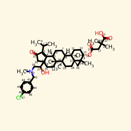 CC(C)C1=C2[C@H]3CC[C@@H]4[C@@]5(C)CC[C@H](OC(=O)CC(C)(C)C(=O)O)C6(C)C[C@]65CC[C@@]4(C)[C@]3(C)CCC2(C(O)CN(C)Cc2ccc(Cl)cc2)CC1=O